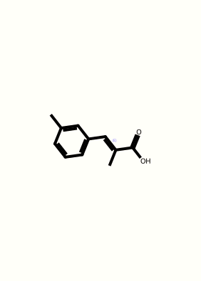 C/C(=C\c1cccc(C)c1)C(=O)O